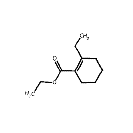 CCOC(=O)C1=C(CC)CCCC1